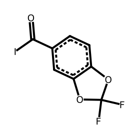 O=C(I)c1ccc2c(c1)OC(F)(F)O2